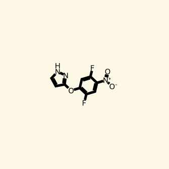 O=[N+]([O-])c1cc(F)c(Oc2cc[nH]n2)cc1F